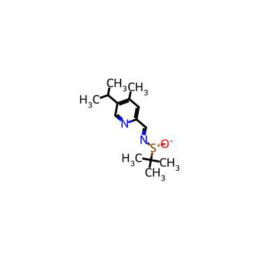 Cc1cc(C=N[S+]([O-])C(C)(C)C)ncc1C(C)C